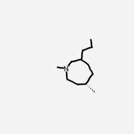 CCCC1CC[C@H](C)CCN(C)C1